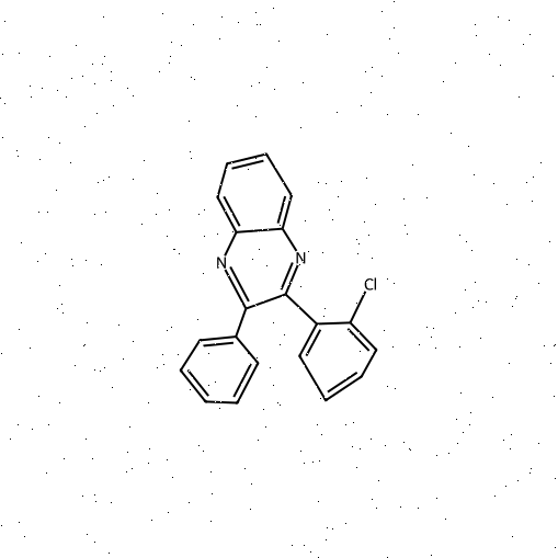 Clc1ccccc1-c1nc2ccccc2nc1-c1ccccc1